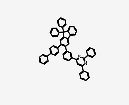 c1ccc(-c2ccc(-c3cc4c(cc3-c3cccc(-c5cc(-c6ccccc6)nc(-c6ccccc6)n5)c3)-c3ccccc3C4(c3ccccc3)c3ccccc3)cc2)cc1